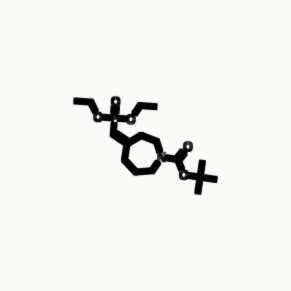 CCOP(=O)(C=C1CCCN(C(=O)OC(C)(C)C)CC1)OCC